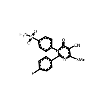 CSc1nc(-c2ccc(F)cc2)n(-c2ccc(S(N)(=O)=O)cc2)c(=O)c1C#N